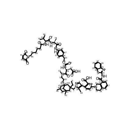 CCC1(Cn2ncc(-c3ccc(N4CCc5cccc(C(=O)Nc6nc7ccccc7s6)c5C4)nc3C(=O)O)c2C)CC2(C)CC(C)CC(OCCN(C)C(=O)[C@H](CC(=O)O)NC(=O)OCc3ccc(NC(=O)[C@H](C)NC(=O)[C@@H](NC(=O)CCCCCN4C(=O)C=CC4=O)C(C)C)cc3)(C2)C1